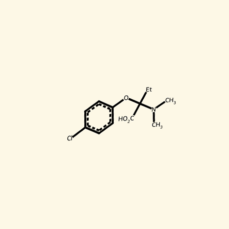 CCC(Oc1ccc(Cl)cc1)(C(=O)O)N(C)C